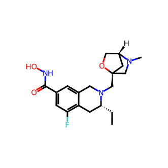 CC[C@@H]1Cc2c(F)cc(C(=O)NO)cc2CN1C[C@]12C[C@H](CO1)N(C)C2